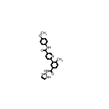 COc1ccc(NC(=O)c2ccc(-c3cc(C(=O)NN4NC=CS4)ccc3C)nc2)cc1